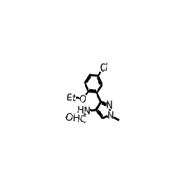 CCOc1ccc(Cl)cc1-c1nn(C)cc1NC=O